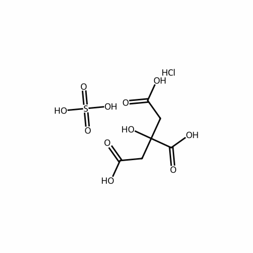 Cl.O=C(O)CC(O)(CC(=O)O)C(=O)O.O=S(=O)(O)O